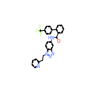 O=C(Nc1ccc2c(c1)nnn2CCc1ccccn1)c1ccccc1-c1ccc(C(F)(F)F)cc1